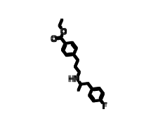 CCOC(=O)c1ccc(CCCNC(C)Cc2ccc(F)cc2)cc1